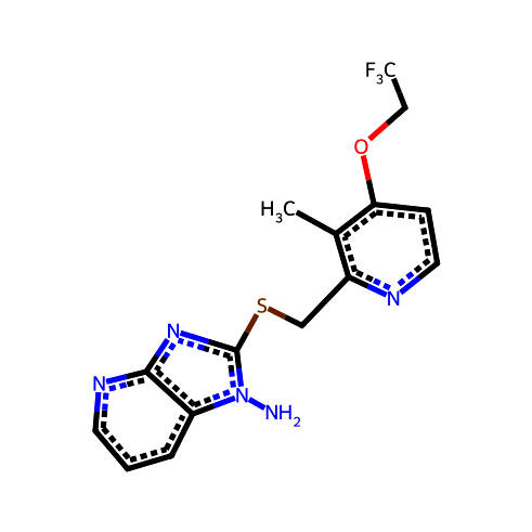 Cc1c(OCC(F)(F)F)ccnc1CSc1nc2ncccc2n1N